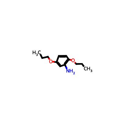 CCCOc1ccc(OCCC)c(N)c1